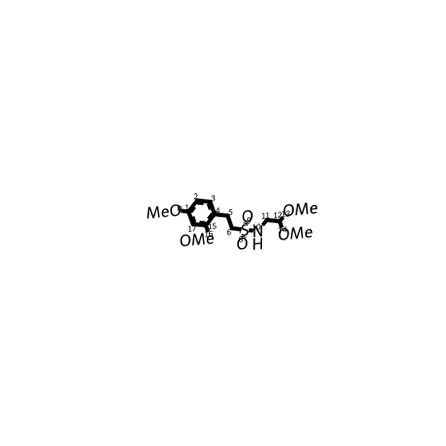 COc1ccc(CCS(=O)(=O)NCC(OC)OC)c(OC)c1